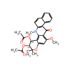 COc1cc2c(c3c1c(=O)c1c4ccccc4ccc1n3C)[C@H](OC(C)=O)[C@H](OC(C)=O)C(C)(C)O2